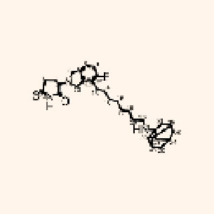 O=C1CCC(N2Cc3ccc(F)c(CCCCCCCCNC45CC6CC(CC(C6)C4)C5)c3C2)C(=O)N1